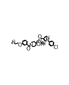 CN(C)CCOc1cccc(C(=O)N2CCC(O)(Cn3cnc4c(cnn4-c4ccc(Cl)cc4)c3=O)CC2)c1